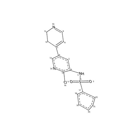 O=S(=O)(Nc1cc(C2=CC=NCC2)cnc1Cl)c1ccccc1